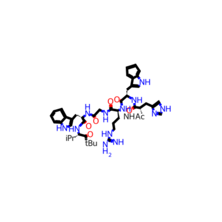 CC(=O)N[C@@H](Cc1c[nH]cn1)C(=O)N[C@@H](Cc1c[nH]c2ccccc12)C(=O)N[C@@H](CCCNC(=N)N)C(=O)NCC(=O)N[C@@H](Cc1c[nH]c2ccccc12)C(=O)N[C@H](C(=O)C(C)(C)C)C(C)C